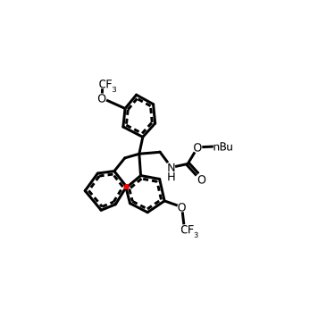 CCCCOC(=O)NCC(Cc1ccccc1)(c1cccc(OC(F)(F)F)c1)c1cccc(OC(F)(F)F)c1